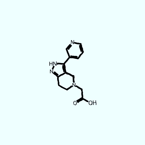 O=C(O)CN1CCc2n[nH]c(-c3cccnc3)c2C1